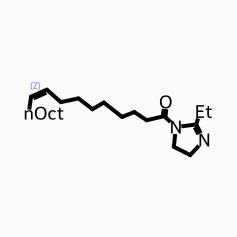 CCCCCCCC/C=C\CCCCCCCC(=O)N1CCN=C1CC